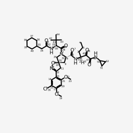 [2H][C@@](CCC)(NC(=O)[C@@H]1C[C@]2(CC(c3cc(Cl)c(OC)cc3OC)=NO2)CN1C(=O)[C@@H](NC(=O)CC1CCCCC1)C(C)(C)C)C(=O)C(=O)NC1CC1